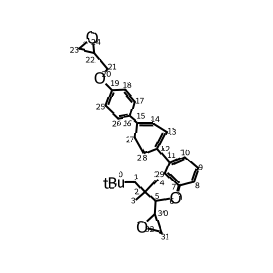 CC(C)(C)CC(C)(C)C(Oc1cccc(C2=CC=C(c3ccc(OCC4CO4)cc3)CC2)c1)C1CO1